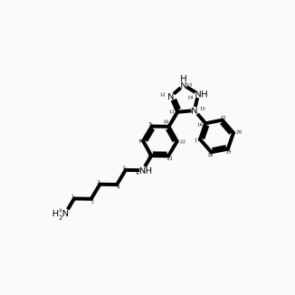 NCCCCCNc1ccc(C2=NNNN2c2ccccc2)cc1